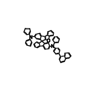 c1ccc(N(c2ccc(-c3cccc4ccccc34)cc2)c2ccc3c(c2)C2(c4ccccc4-3)c3cc(N(c4ccccc4)c4ccccc4)ccc3-c3c2oc2ccccc32)cc1